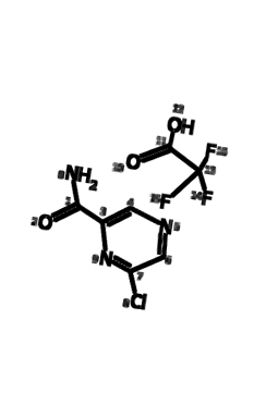 NC(=O)c1cncc(Cl)n1.O=C(O)C(F)(F)F